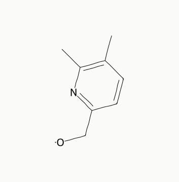 Cc1ccc(C[O])nc1C